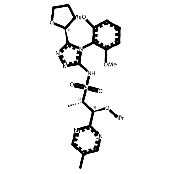 COc1cccc(OC)c1-n1c(NS(=O)(=O)[C@@H](C)[C@@H](OC(C)C)c2ncc(C)cn2)nnc1[C@@H]1CCCO1